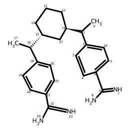 CC(c1ccc(C(=N)N)cc1)[C@@H]1CCC[C@@H](C(C)c2ccc(C(=N)N)cc2)C1